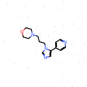 c1cc(-c2cncn2CCCN2CCOCC2)ccn1